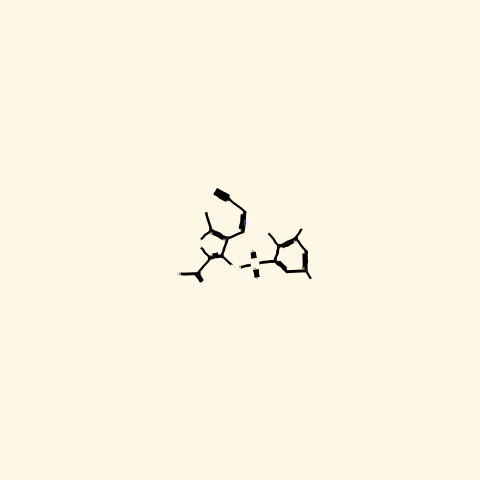 C#C/C=C\c1c(C)sc(C(N)=O)c1NS(=O)(=O)c1cc(Cl)cc(Cl)c1O